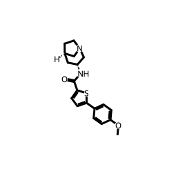 COc1ccc(-c2ccc(C(=O)N[C@@H]3C[C@H]4CCN(C4)C3)s2)cc1